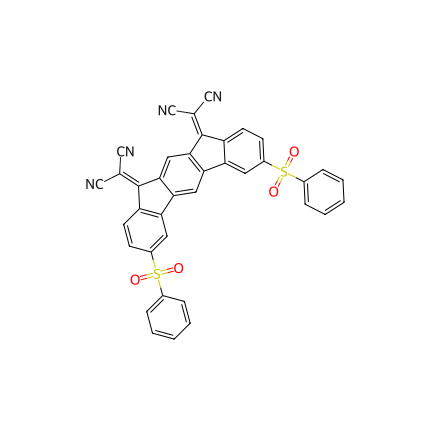 N#CC(C#N)=C1c2ccc(S(=O)(=O)c3ccccc3)cc2-c2cc3c(cc21)C(=C(C#N)C#N)c1ccc(S(=O)(=O)c2ccccc2)cc1-3